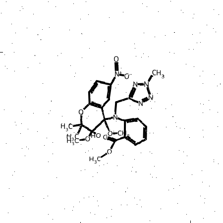 COC(=O)c1ccccc1N(Cc1nnn(C)n1)C1(OC)c2cc([N+](=O)[O-])ccc2OC(C)(C)C1(O)OC